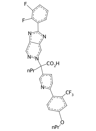 CCCOc1ccc(-c2ccc(C(CCC)(C(=O)O)n3cc4nc(-c5cccc(F)c5F)nc-4cn3)cn2)c(C(F)(F)F)c1